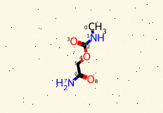 CNC(=O)OCC(N)=O